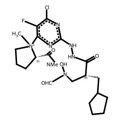 CNC(=O)[C@@H]1CCC[N+]1(C)c1nc(NNC(=O)[C@H](CC2CCCC2)CN(O)C=O)nc(Cl)c1F